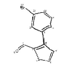 O=Cc1sccc1-c1cccc(Br)c1